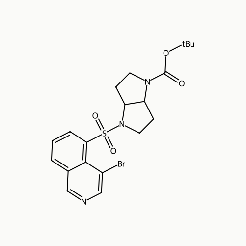 CC(C)(C)OC(=O)N1CCC2C1CCN2S(=O)(=O)c1cccc2cncc(Br)c12